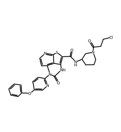 O=C(NC1CCCN(C(=O)CCCl)C1)c1sc2nccc3c2c1NC(=O)N3c1ccc(Oc2ccccc2)cn1